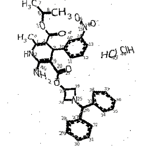 CC1=C(C(=O)OC(C)C)C(c2cccc([N+](=O)[O-])c2)C(C(=O)OC2CN(C(c3ccccc3)c3ccccc3)C2)=C(N)N1.Cl.Cl